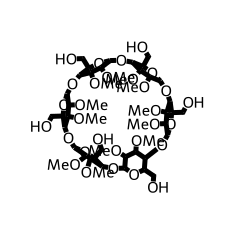 COC1C2OC(CO)C(OC3OC(CO)C(OC4OC(CO)C(OC5OC(CO)C(OC6OC(CO)C(OC7OC(CO)C(O2)C(OC)C7OC)C(OC)C6OC)C(OC)C5OC)C(OC)C4OC)C(OC)C3OC)C1OC